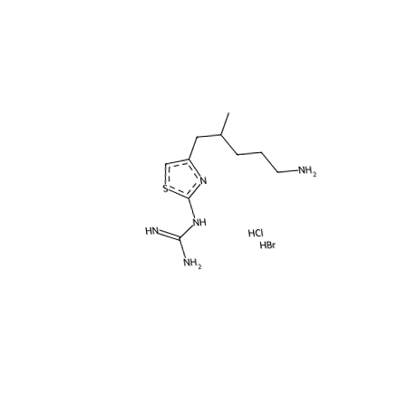 Br.CC(CCCN)Cc1csc(NC(=N)N)n1.Cl